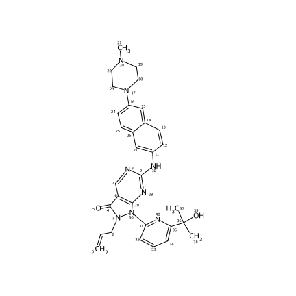 C=CCn1c(=O)c2cnc(Nc3ccc4cc(N5CCN(C)CC5)ccc4c3)nc2n1-c1cccc(C(C)(C)O)n1